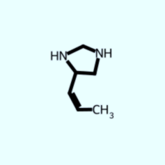 C/C=C\C1CNCN1